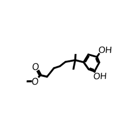 COC(=O)CCCCC(C)(C)c1cc(O)cc(O)c1